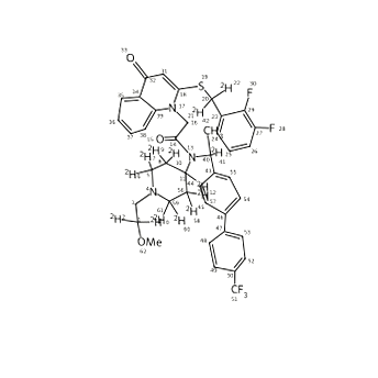 [2H]C([2H])(CN1C([2H])([2H])C([2H])([2H])C([2H])(N(C(=O)Cn2c(SC([2H])([2H])c3cccc(F)c3F)cc(=O)c3ccccc32)C([2H])(C)c2ccc(-c3ccc(C(F)(F)F)cc3)cc2)C([2H])([2H])C1([2H])[2H])OC